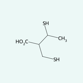 CC(S)C(CS)C(=O)O